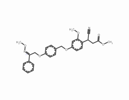 CO/N=C(\COc1ccc(COc2ccc(C(C#N)CC(=O)OC)c(OC)c2)cc1)c1ccccc1